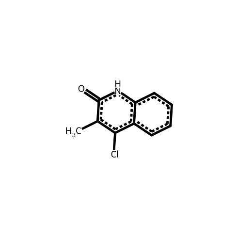 Cc1c(Cl)c2ccccc2[nH]c1=O